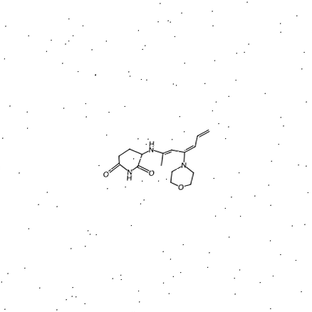 C=C/C=C(\C=C(/C)NC1CCC(=O)NC1=O)N1CCOCC1